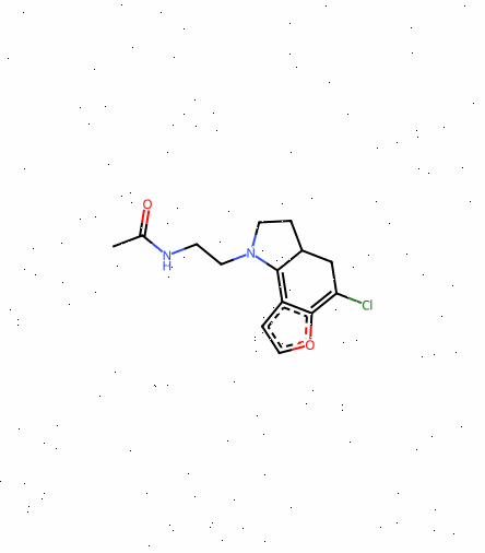 CC(=O)NCCN1CCC2CC(Cl)=c3occc3=C21